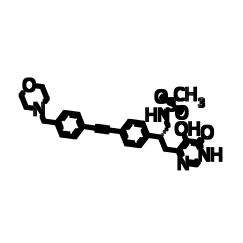 CS(=O)(=O)NC[C@H](Cc1nc[nH]c(=O)c1O)c1ccc(C#Cc2ccc(CN3CCOCC3)cc2)cc1